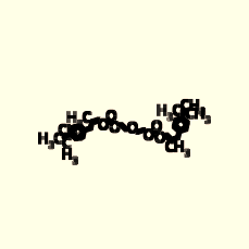 CC(=COC(=O)OCCOCCOC(=O)OC=C(C)Cc1ccc(C(C)(C)C)cc1)Cc1ccc(C(C)(C)C)cc1